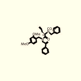 C=CC[C@H](C(=O)N(CC(=C)c1ccccc1)Cc1ccc(OC)cc1OC)N(Cc1ccccc1)C(=O)O